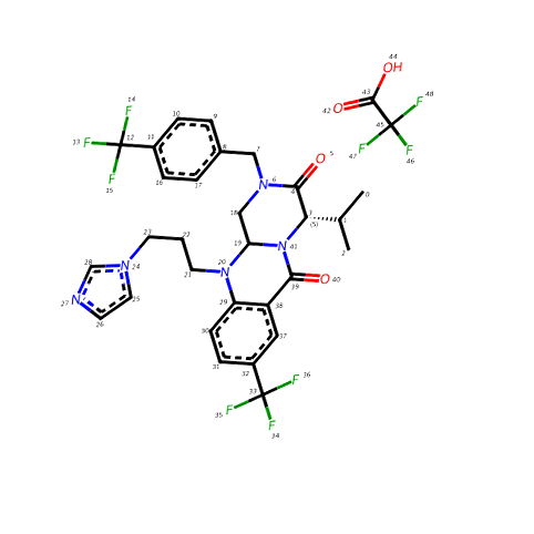 CC(C)[C@H]1C(=O)N(Cc2ccc(C(F)(F)F)cc2)CC2N(CCCn3ccnc3)c3ccc(C(F)(F)F)cc3C(=O)N21.O=C(O)C(F)(F)F